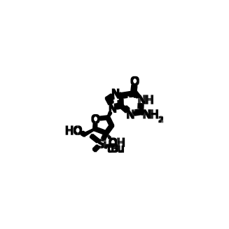 CC(C)(C)[Si](C)(C)[C@]1(O)C[C@H](n2cnc3c(=O)[nH]c(N)nc32)O[C@@H]1CO